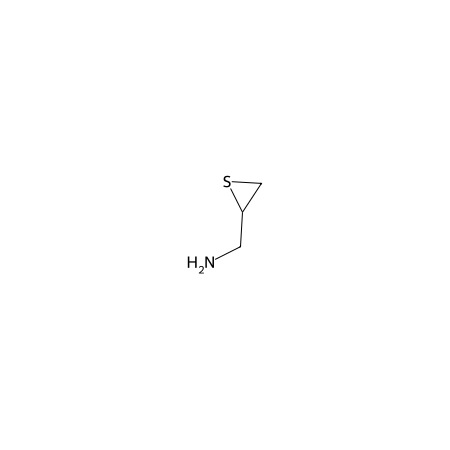 NCC1CS1